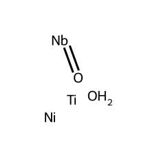 O.[Ni].[O]=[Nb].[Ti]